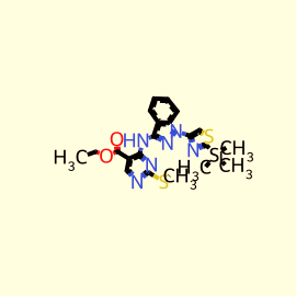 CCOC(=O)c1cnc(SC)nc1Nc1nn(-c2csc([Si](C)(C)C)n2)c2ccccc12